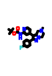 CN1CCn2nc(-c3ccc(F)cc3)c(-c3ccnc(NC(=O)OC(C)(C)C)c3)c2C1